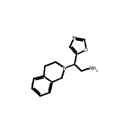 NCC(c1cnco1)N1CCc2ccccc2C1